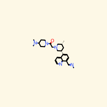 C/N=C/c1ccc([C@H]2C[C@@H](C)CN(CC(=O)N3CCC(N(C)C)CC3)C2)c2cccnc12